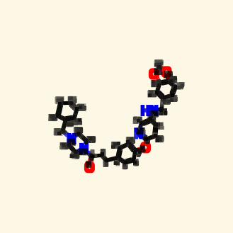 O=C(CCc1ccc(Oc2ccc(NCc3ccc4c(c3)OCO4)cn2)cc1)N1CCN(Cc2ccccc2)CC1